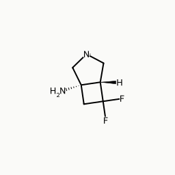 N[C@]12C[N]C[C@@H]1C(F)(F)C2